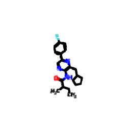 CCC(C)C(=O)Nc1ncc(-c2ccc(F)cc2)nc1CC1CCCC1